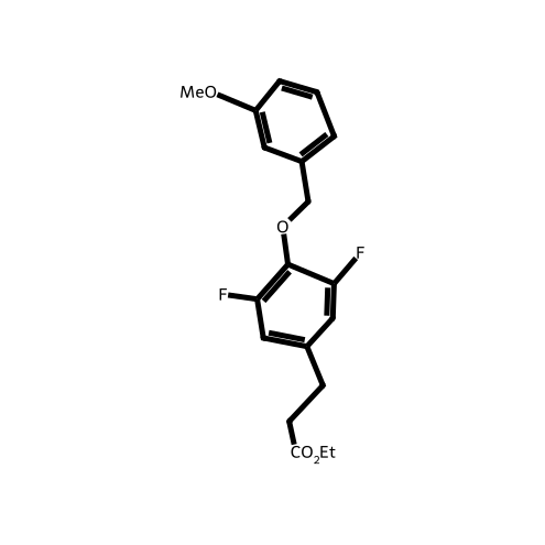 CCOC(=O)CCc1cc(F)c(OCc2cccc(OC)c2)c(F)c1